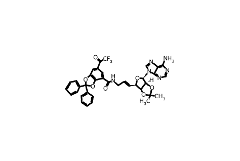 CC1(C)OC2[C@@H](/C=C/CNC(=O)c3cc(C(=O)C(F)(F)F)cc4c3OC(c3ccccc3)(c3ccccc3)O4)O[C@@H](n3cnc4c(N)ncnc43)[C@H]2O1